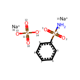 NS(=O)(=O)c1ccccc1.O=S(=O)([O-])[O-].[Na+].[Na+]